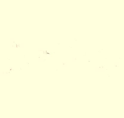 C=C1/C(=C\C=C2/CCC[C@]3(C)C(C(C)OCCC(=O)OC(C)(CC)CC)=CC[C@@H]23)C[C@@H](O)C[C@@H]1O